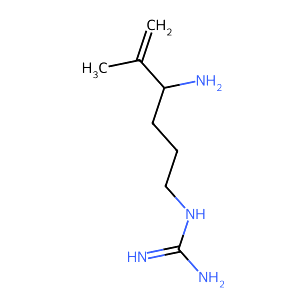 C=C(C)C(N)CCCNC(=N)N